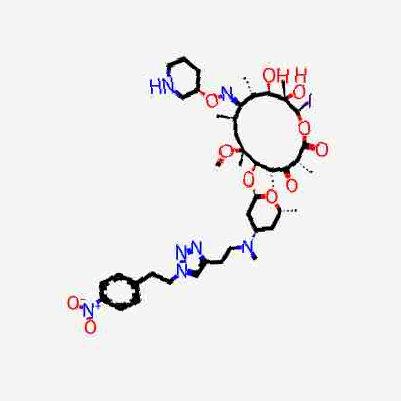 CO[C@]1(C)C[C@@H](C)/C(=N\O[C@@H]2CCCNC2)[C@H](C)[C@@H](O)[C@](C)(O)[C@@H](I)OC(=O)[C@H](C)C(=O)[C@H](C)[C@H]1O[C@H]1C[C@@H](N(C)CCc2cn(CCc3ccc([N+](=O)[O-])cc3)nn2)C[C@@H](C)O1